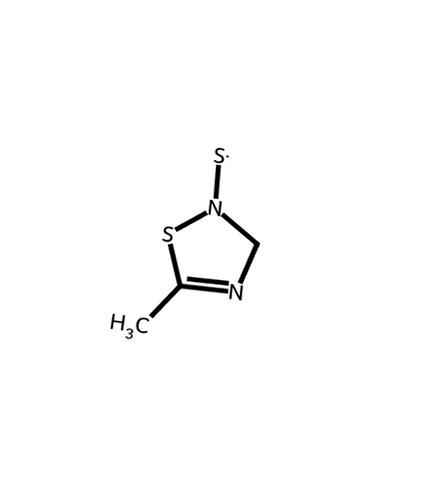 CC1=NCN([S])S1